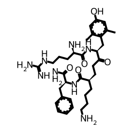 Cc1cc(O)cc(C)c1C[C@H](NC(=O)[C@H](N)CCCNC(=N)N)C(=O)CC[C@@H](CCCCN)C(=O)N[C@@H](Cc1ccccc1)C(N)=O